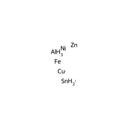 [AlH3].[Cu].[Fe].[Ni].[SnH2].[Zn]